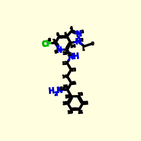 CCn1ncc2cc(Cl)nc(NCCCCC(N)c3ccccc3)c21